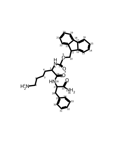 NCCCCC(NC(=O)OCC1c2ccccc2-c2ccccc21)C(=O)NC(Cc1ccccc1)C(N)=O